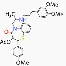 COc1ccc(C2Sc3ccccc3N(CC(C)NCCCc3ccc(OC)c(OC)c3)C(=O)C2OC(C)=O)cc1